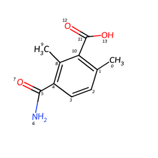 Cc1ccc(C(N)=O)c(C)c1C(=O)O